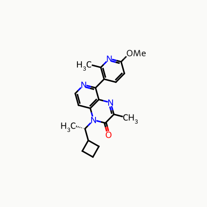 COc1ccc(-c2nccc3c2nc(C)c(=O)n3[C@@H](C)C2CCC2)c(C)n1